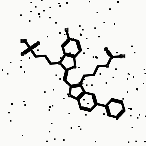 O=S(O)OCCC[n+]1c(C=C2Sc3ccc(Cl)cc3N2CCCS(=O)(=O)O)oc2ccc(-c3ccccc3)cc21